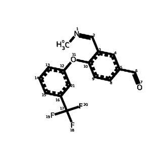 C/N=C\c1cc(C=O)ccc1Oc1cccc(C(F)(F)F)c1